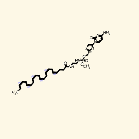 CC/C=C\C/C=C\C/C=C\C/C=C\C/C=C\C/C=C\CCC(=O)NCCNP(=O)(OC)OC[C@@H]1OC(n2ccc(N)nc2=O)CS1